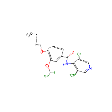 CCCCOc1ccc(C(=O)Nc2c(Cl)cncc2Cl)cc1OC(F)F